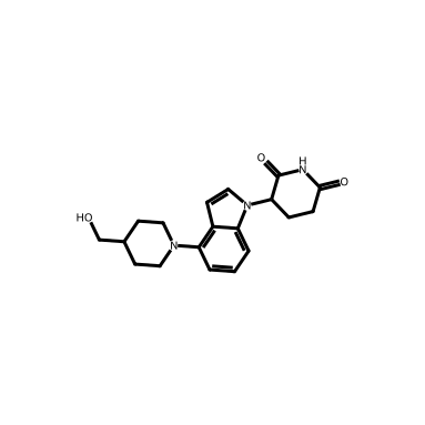 O=C1CCC(n2ccc3c(N4CCC(CO)CC4)cccc32)C(=O)N1